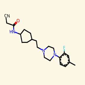 Cc1ccc(N2CCN(CCC3CCC(NC(=O)CC#N)CC3)CC2)c(F)c1